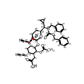 CC(=O)O[C@H]1[C@@H](CC(=O)O)[C@H](N=[N+]=[N-])C[C@H](N=[N+]=[N-])[C@H]1O[C@H]1O[C@H]([C@@H](C2CC2)N(Cc2ccccc2)C(=O)OCc2ccccc2)CC[C@H]1N=[N+]=[N-]